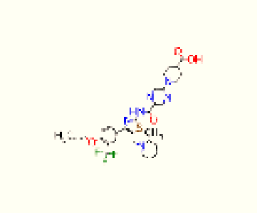 CCCOc1ccc(-c2nc(NC(=O)c3cnc(N4CCC(C(=O)O)CC4)cn3)sc2CN2CCCC[C@H]2C)cc1C(F)(F)F